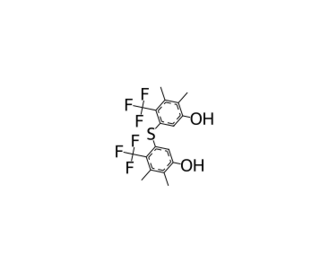 Cc1c(O)cc(Sc2cc(O)c(C)c(C)c2C(F)(F)F)c(C(F)(F)F)c1C